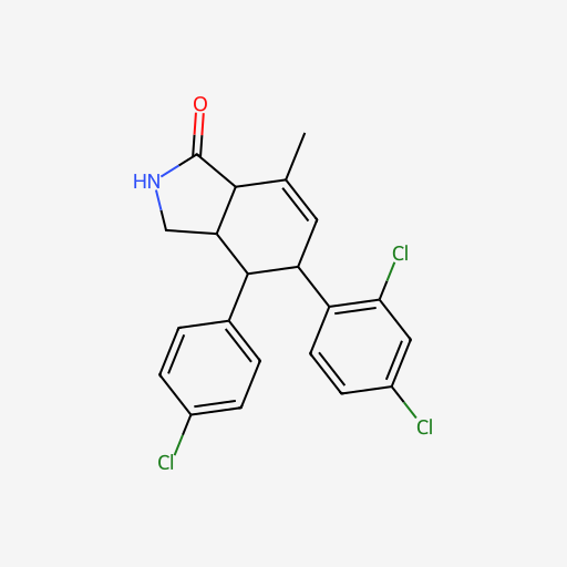 CC1=CC(c2ccc(Cl)cc2Cl)C(c2ccc(Cl)cc2)C2CNC(=O)C12